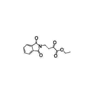 CCOC(=O)C(=O)CCN1C(=O)c2ccccc2C1=O